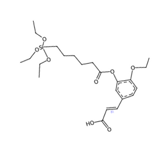 CCOc1ccc(/C=C/C(=O)O)cc1OC(=O)CCCCC[Si](OCC)(OCC)OCC